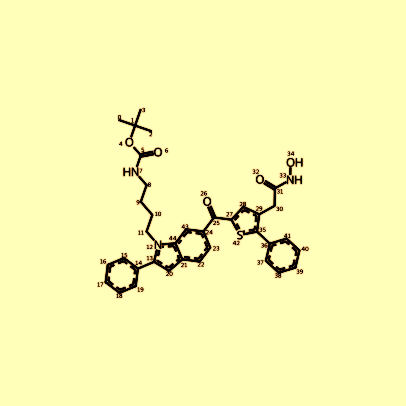 CC(C)(C)OC(=O)NCCCCn1c(-c2ccccc2)cc2ccc(C(=O)c3cc(CC(=O)NO)c(-c4ccccc4)s3)cc21